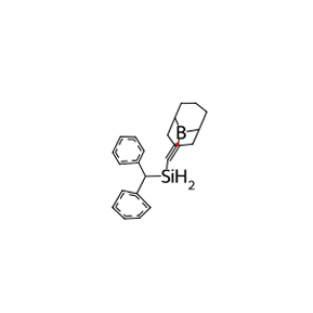 C(#CB1C2CCCC1CCC2)[SiH2]C(c1ccccc1)c1ccccc1